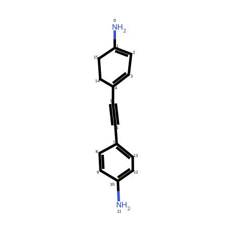 NC1=CC=C(C#Cc2ccc(N)cc2)CC1